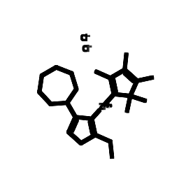 CCC1=[C]([Zr+2][C]2=C(C)C(C)=C(C)C2(C)C)C(C2CCCCCC2)=CC1.[Cl-].[Cl-]